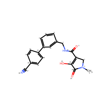 CN1CC(C(=O)NCc2cccc(-c3ccc(C#N)cc3)c2)=C(O)C1=O